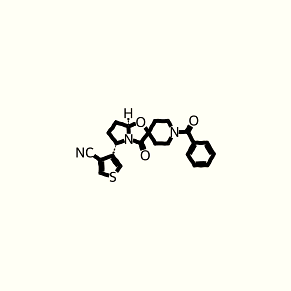 N#Cc1cscc1[C@@H]1CC[C@H]2OC3(CCN(C(=O)c4ccccc4)CC3)C(=O)N21